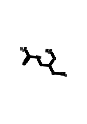 COC(CNC(C)=O)OC